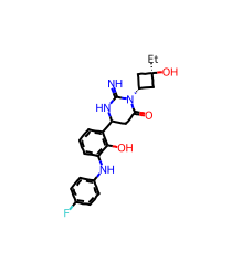 CC[C@]1(O)C[C@H](N2C(=N)NC(c3cccc(Nc4ccc(F)cc4)c3O)CC2=O)C1